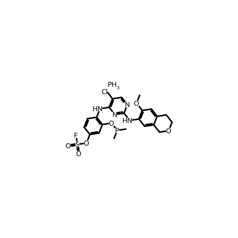 COc1cc2c(cc1Nc1ncc(Cl)c(Nc3ccc(OS(=O)(=O)F)cc3OP(C)C)n1)COCC2.P